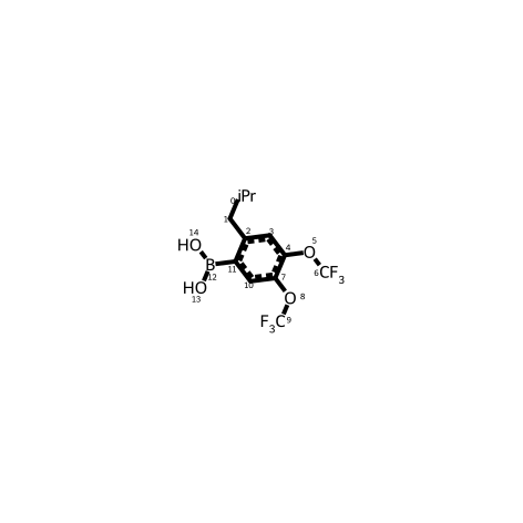 CC(C)Cc1cc(OC(F)(F)F)c(OC(F)(F)F)cc1B(O)O